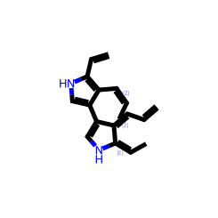 C=C/C=c1/c(-c2c[nH]c(C=C)c2/C=C\C)c[nH]/c1=C/C